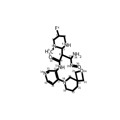 CN1CC(F)CNC1C(C(=O)Nc1cnccc1N1CCCC2(COC2)C1)C(N)N=O